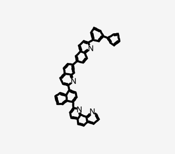 c1ccc(-c2cccc(-c3ccc4cc(-c5ccc6ccc(-c7ccc(-c8ccc9ccc%10cccnc%10c9n8)c8ccccc78)nc6c5)ccc4n3)c2)cc1